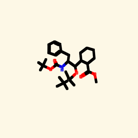 COC(=O)C1CCCCC1C(O[Si](C)(C)C(C)(C)C)C(Cc1ccccc1)NC(=O)OC(C)(C)C